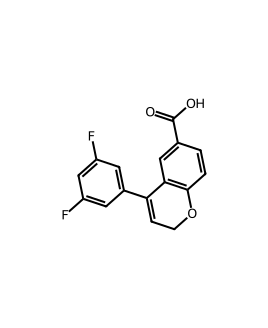 O=C(O)c1ccc2c(c1)C(c1cc(F)cc(F)c1)=CCO2